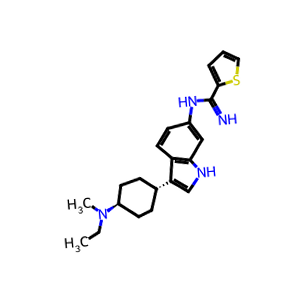 CCN(C)[C@H]1CC[C@H](c2c[nH]c3cc(NC(=N)c4cccs4)ccc32)CC1